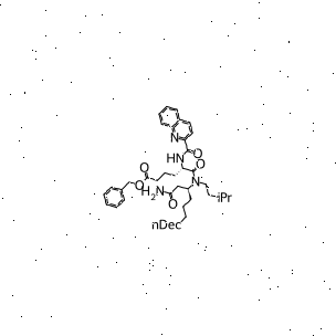 CCCCCCCCCCCCC[C@@H](CC(N)=O)N(CCC(C)C)C(=O)[C@H](CCCC(=O)OCc1ccccc1)NC(=O)c1ccc2ccccc2n1